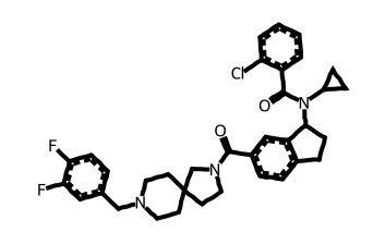 O=C(c1ccc2c(c1)C(N(C(=O)c1ccccc1Cl)C1CC1)CC2)N1CCC2(CCN(Cc3ccc(F)c(F)c3)CC2)C1